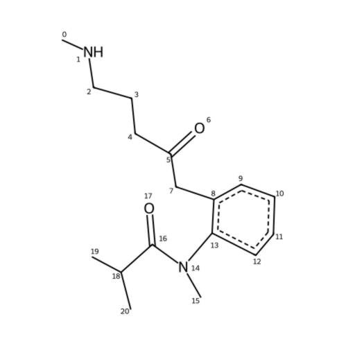 CNCCCC(=O)Cc1ccccc1N(C)C(=O)C(C)C